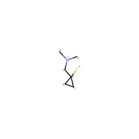 CN(C)CC1(F)CC1